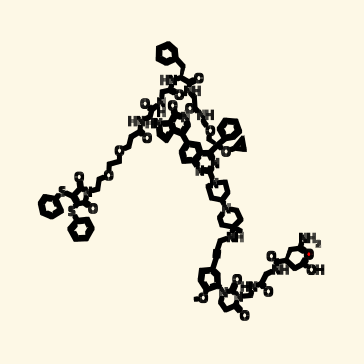 COc1ccc(C#CCNC2(C)CCN(C3CCN(c4nc([C@@](COCNC(=O)CNC(=O)[C@H](Cc5ccccc5)NC(=O)CNC(=O)CNC(=O)CCOCCOCCN5C(=O)C(Sc6ccccc6)=C(Sc6ccccc6)C5=O)(OC5CC5)c5ccccc5)c5cc(-c6cn(C)c(=O)c7[nH]ccc67)ccc5n4)CC3)CC2)cc1N1CCC(=O)N(CNC(=O)CNC(=O)[C@@H](CC(N)=O)CC(=O)O)C1=O